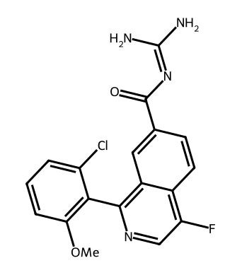 COc1cccc(Cl)c1-c1ncc(F)c2ccc(C(=O)N=C(N)N)cc12